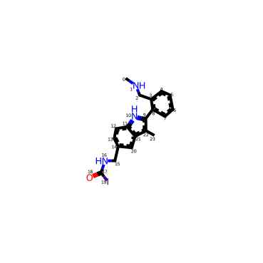 CNCc1ccccc1-c1[nH]c2ccc(CNC(=O)I)cc2c1C